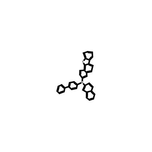 c1ccc(-c2ccc(N(c3ccc4ccccc4c3)c3ccc4c(ccc5c6ccccc6sc45)c3)cc2)cc1